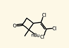 CCCCC1(C)C(=O)CC1C(Cl)=C(Cl)Cl